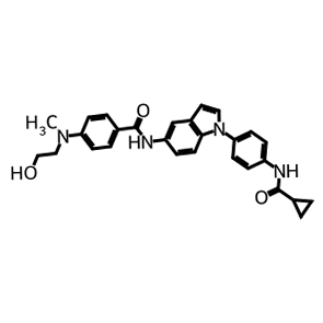 CN(CCO)c1ccc(C(=O)Nc2ccc3c(ccn3-c3ccc(NC(=O)C4CC4)cc3)c2)cc1